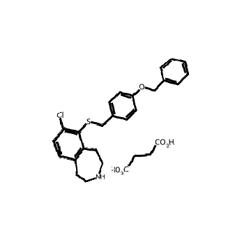 Clc1ccc2c(c1SCc1ccc(OCc3ccccc3)cc1)CCNCC2.O=C(O)CCC(=O)O